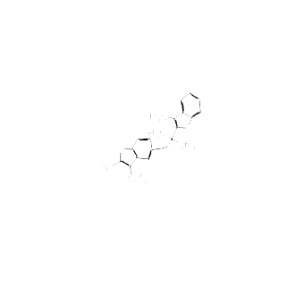 Cc1c(C(C)(C)Cc2ccc3sc(C(C)(C)C)c(C)c3c2)oc2ccccc12